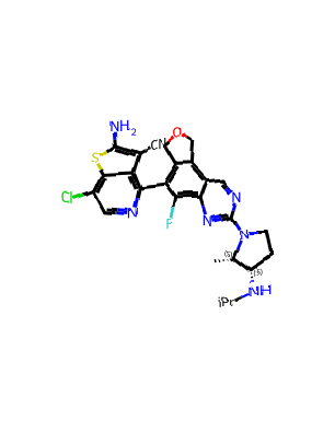 CC(C)N[C@H]1CCN(c2ncc3c4c(c(-c5ncc(Cl)c6sc(N)c(C#N)c56)c(F)c3n2)COC4)[C@H]1C